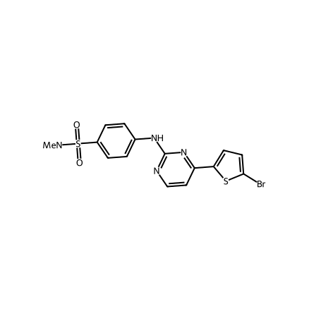 CNS(=O)(=O)c1ccc(Nc2nccc(-c3ccc(Br)s3)n2)cc1